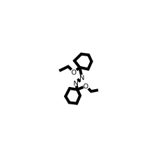 CCOC1(N=NC2(OCC)CCCCC2)CCCCC1